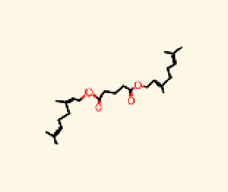 CC(C)=CCCC(C)=CCOC(=O)CCCC(=O)OCC=C(C)CCC=C(C)C